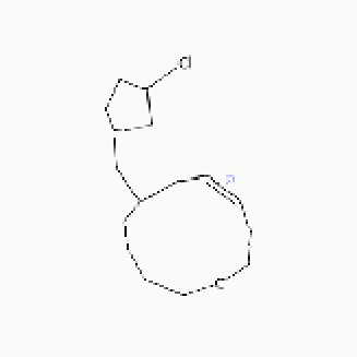 ClC1CCC(CC2C/C=C\CCCCCCC2)C1